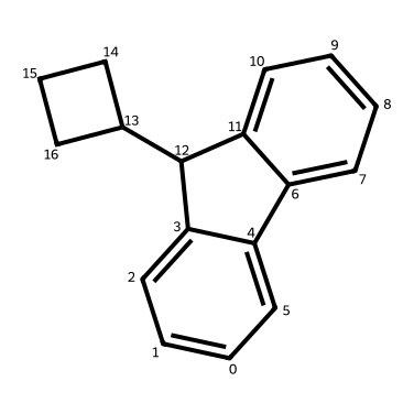 c1ccc2c(c1)-c1ccccc1C2C1CCC1